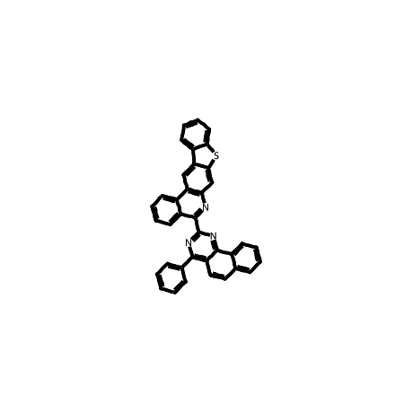 c1ccc(-c2nc(-c3nc4cc5sc6ccccc6c5cc4c4ccccc34)nc3c2ccc2ccccc23)cc1